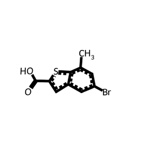 Cc1cc(Br)cc2cc(C(=O)O)sc12